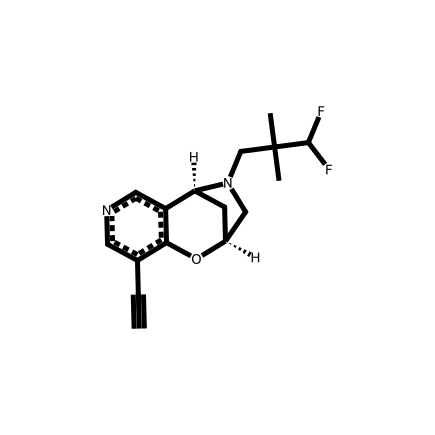 C#Cc1cncc2c1O[C@H]1C[C@@H]2N(CC(C)(C)C(F)F)C1